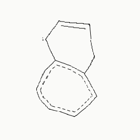 [C]1C=CCc2ccccc21